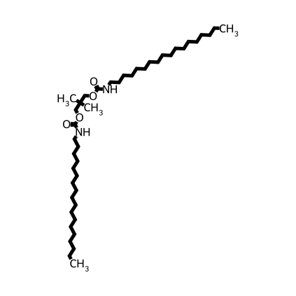 CCCCCCCCCCCCCCCCCCNC(=O)OCC(C)(C)COC(=O)NCCCCCCCCCCCCCCCCCC